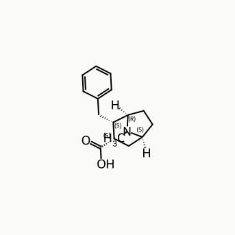 CN1[C@H]2CC[C@@H]1[C@@H](Cc1ccccc1)[C@@H](C(=O)O)C2